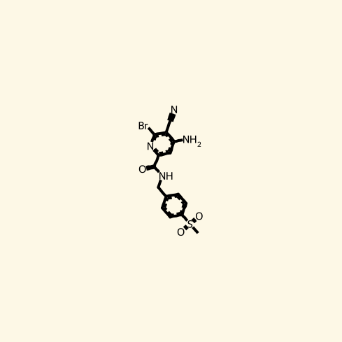 CS(=O)(=O)c1ccc(CNC(=O)c2cc(N)c(C#N)c(Br)n2)cc1